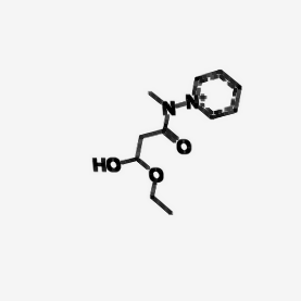 CCOC(O)CC(=O)N(C)[n+]1ccccc1